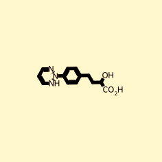 O=C(O)C(O)CCc1ccc(N2N=CC=CN2)cc1